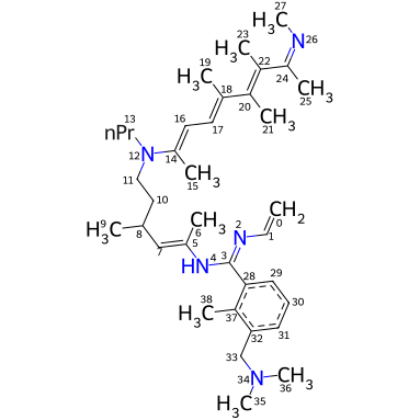 C=C/N=C(/N/C(C)=C/C(C)CCN(CCC)/C(C)=C/C=C(C)/C(C)=C(C)/C(C)=N\C)c1cccc(CN(C)C)c1C